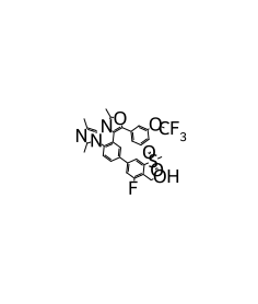 Cc1cn(-c2ccc(-c3cc(F)c(CO)c(S(C)(=O)=O)c3)cc2-c2nc(C)oc2-c2cccc(OC(F)(F)F)c2)c(C)n1